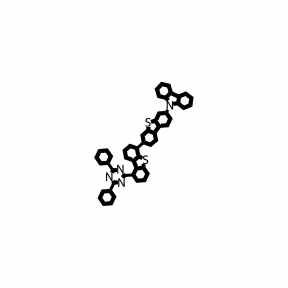 c1ccc(-c2nc(-c3ccccc3)nc(-c3cccc4sc5c(-c6ccc7c(c6)sc6cc(-n8c9ccccc9c9ccccc98)ccc67)cccc5c34)n2)cc1